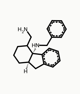 NCC1CCC[C@@H]2Cc3ccccc3[C@]12NCc1ccccc1